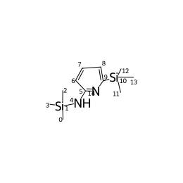 C[Si](C)(C)Nc1cccc([Si](C)(C)C)n1